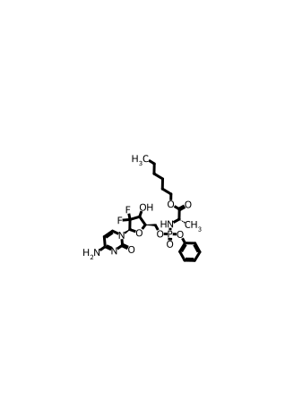 CCCCCCOC(=O)[C@H](C)NP(=O)(OC[C@H]1O[C@@H](n2ccc(N)nc2=O)C(F)(F)C1O)Oc1ccccc1